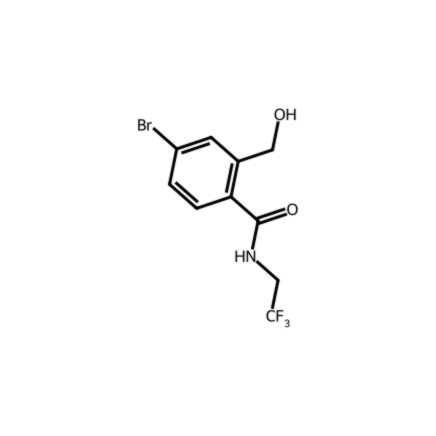 O=C(NCC(F)(F)F)c1ccc(Br)cc1CO